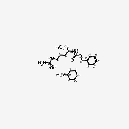 N=C(N)NCCC[C@H](NC(=O)OCc1ccccc1)C(=O)O.NC1CCCCC1